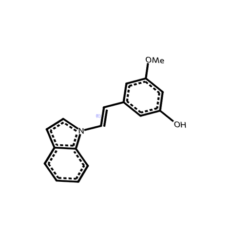 COc1cc(O)cc(/C=C/n2ccc3ccccc32)c1